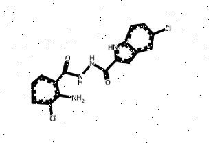 Nc1c(Cl)cccc1C(=O)NNC(=O)c1cc2cc(Cl)ccc2[nH]1